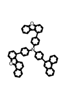 c1ccc2c(c1)cc(-c1ccc(N(c3ccc(-c4cccc5oc6ccccc6c45)cc3)c3ccc(-c4cccc5oc6c7ccccc7ccc6c45)cc3)cc1)c1ccccc12